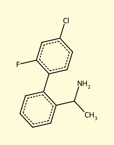 CC(N)c1ccccc1-c1ccc(Cl)cc1F